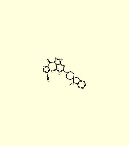 C=C(c1cc(C#N)cs1)c1n[nH]c2nc(N3CCC4(CC3)Cc3ccccc3[C@H]4I)[nH]c(=O)c12